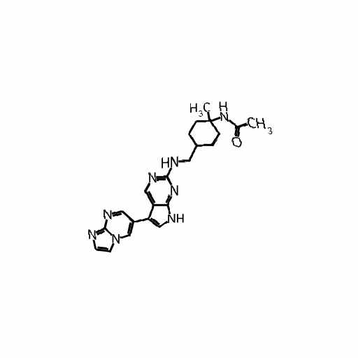 CC(=O)NC1(C)CCC(CNc2ncc3c(-c4cnc5nccn5c4)c[nH]c3n2)CC1